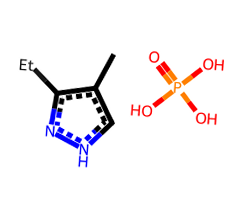 CCc1n[nH]cc1C.O=P(O)(O)O